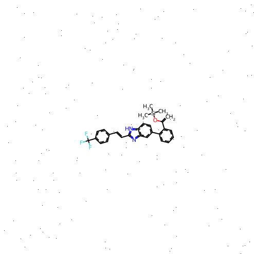 C=C(O[Si](C)(C)C)c1ccccc1-c1ccc2[nH]c(C=Cc3ccc(C(F)(F)F)cc3)nc2c1